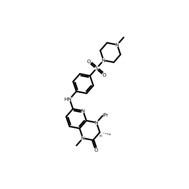 CC(C)N1c2nc(Nc3ccc(S(=O)(=O)N4CCN(C)CC4)cc3)ccc2N(C)C(=O)[C@H]1C